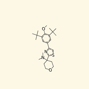 COc1c(C(C)(C)C)cc(-c2csc(C3(N(C)C)CCOCC3)n2)cc1C(C)(C)C